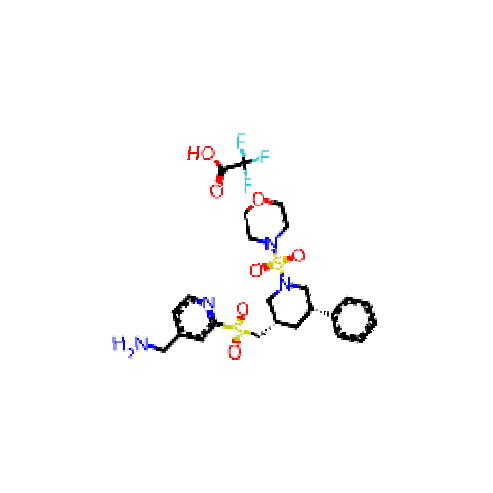 NCc1ccnc(S(=O)(=O)C[C@H]2C[C@@H](c3ccccc3)CN(S(=O)(=O)N3CCOCC3)C2)c1.O=C(O)C(F)(F)F